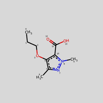 CCCOc1c(C)nn(C)c1C(=O)O